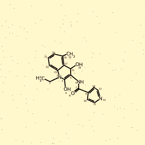 CCN1C(O)=C(NC(=O)c2ccncc2)C(O)c2c(C)cccc21